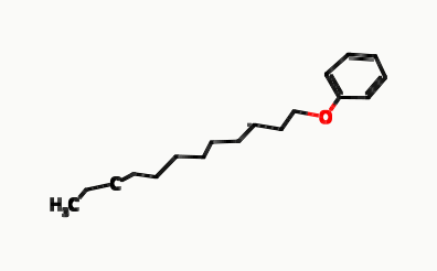 CCCCCCCCC[CH]CCOc1ccccc1